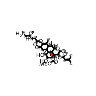 COC(=O)[C@@]12OC[C@]34C([C@@H](O)[C@@H]1O)[C@@]1(C)CC(=O)C(OC(=O)CNC(=O)CN)=C(C)[C@@H]1C[C@H]3OC(=O)[C@H](OC(=O)C=C(C)C)[C@@H]24